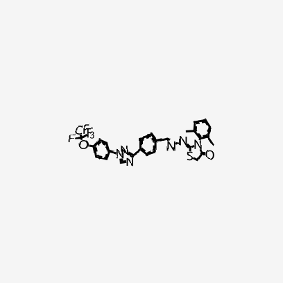 Cc1cccc(C)c1N1C(=O)CS/C1=N\N=C\c1ccc(-c2ncn(-c3ccc(OC(F)(F)C(F)(F)F)cc3)n2)cc1